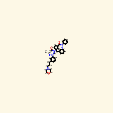 O=C(Nc1ccccc1)C1=CC(Cc2ccccc2)(N(CNc2cccc(CCCN3CCOCC3)c2)C(=O)C(Cl)(Cl)Cl)CC1